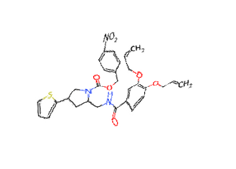 C=CCOc1ccc(C(=O)NCC2CC(c3cccs3)CN2C(=O)OCc2ccc([N+](=O)[O-])cc2)cc1OCC=C